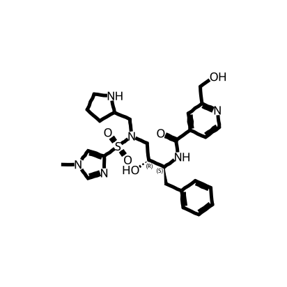 Cn1cnc(S(=O)(=O)N(CC2CCCN2)C[C@@H](O)[C@H](Cc2ccccc2)NC(=O)c2ccnc(CO)c2)c1